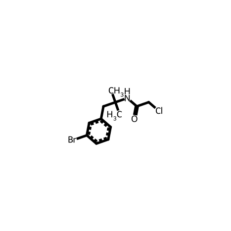 CC(C)(Cc1cccc(Br)c1)NC(=O)CCl